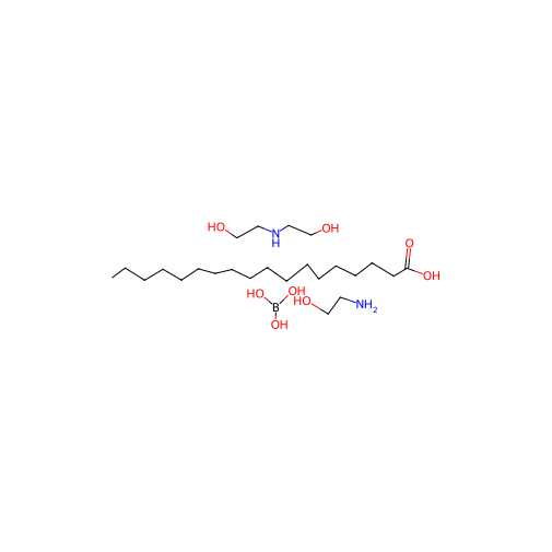 CCCCCCCCCCCCCCCCCC(=O)O.NCCO.OB(O)O.OCCNCCO